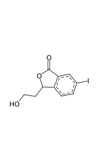 O=C1OC(CCO)c2ccc(I)cc21